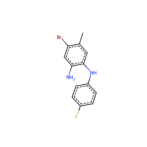 Cc1cc(Nc2ccc(F)cc2)c(N)cc1Br